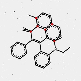 C=C(C(=C(c1ccccc1N(CC)CC)c1ccccc1N(CC)CC)c1ccccc1)c1ccccc1